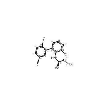 CCCCOC(=O)Nc1c(-c2cc(F)ccc2F)ccnc1Cl